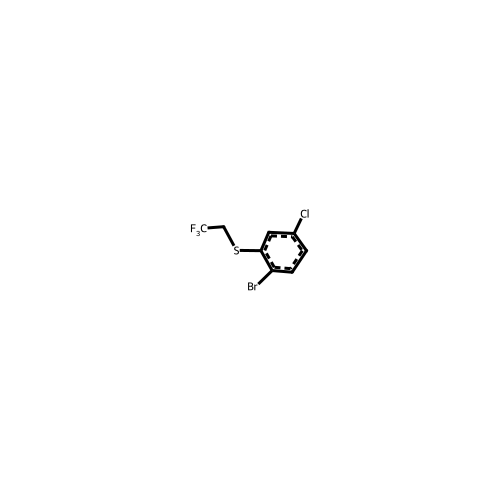 FC(F)(F)CSc1cc(Cl)ccc1Br